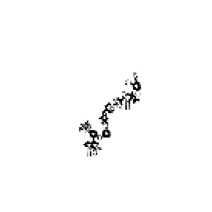 CCS(=O)(=O)Nc1ccc(Oc2cccc(N3CC4(CN(CC5CCN(c6ncc(C(=O)NC7C(C)(C)C(Oc8ccc(C#N)c(Cl)c8)C7(C)C)cn6)CC5)C4)C3)c2)c(-c2cn(C)c(=O)c3[nH]ccc23)c1